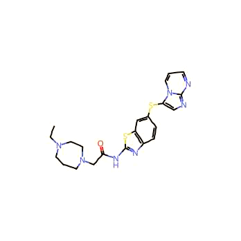 CCN1CCCN(CC(=O)Nc2nc3ccc(Sc4cnc5ncccn45)cc3s2)CC1